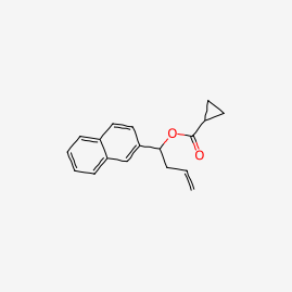 C=CCC(OC(=O)C1CC1)c1ccc2ccccc2c1